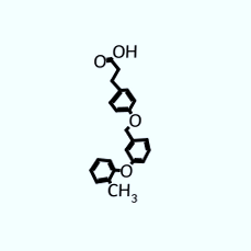 Cc1ccccc1Oc1cccc(COc2ccc(CCC(=O)O)cc2)c1